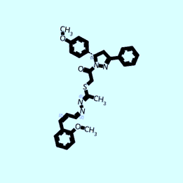 COc1ccc([C@@H]2CC(c3ccccc3)=NN2C(=O)CS/C(C)=N/N=C\C=C/c2ccccc2OC)cc1